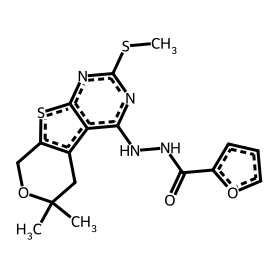 CSc1nc(NNC(=O)c2ccco2)c2c3c(sc2n1)COC(C)(C)C3